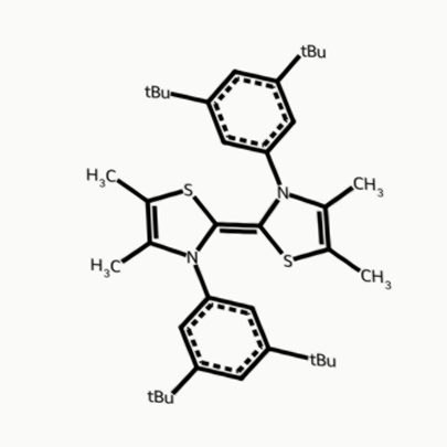 CC1=C(C)N(c2cc(C(C)(C)C)cc(C(C)(C)C)c2)/C(=C2\SC(C)=C(C)N2c2cc(C(C)(C)C)cc(C(C)(C)C)c2)S1